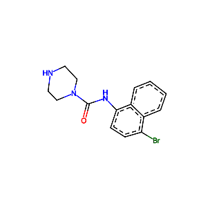 O=C(Nc1ccc(Br)c2ccccc12)N1CCNCC1